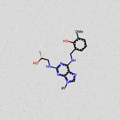 COc1cccc(CNc2nc(NC[C@@H](C)O)nc3c2ncn3C(C)C)c1O